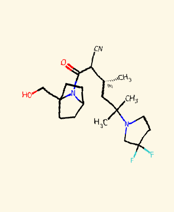 C[C@H](CC(C)(C)N1CCC(F)(F)C1)C(C#N)C(=O)N1C2CCC1(CO)CC2